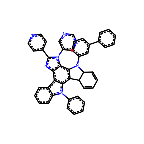 C1=CC2c3c(c4c(nc(-c5ccncc5)n4-c4cncnc4)c4c5ccccc5n(-c5ccccc5)c34)N(c3cccc(-c4ccccc4)c3)C2C=C1